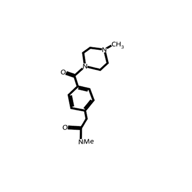 CNC(=O)Cc1ccc(C(=O)N2CCN(C)CC2)cc1